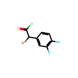 O=C(Cl)C(Br)c1ccc(F)c(F)c1